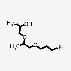 CC(C)CCCOCC(C)OCC(C)O